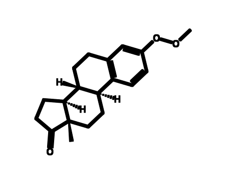 COOc1ccc2c(c1)CC[C@@H]1[C@@H]2CC[C@]2(C)C(=O)CC[C@@H]12